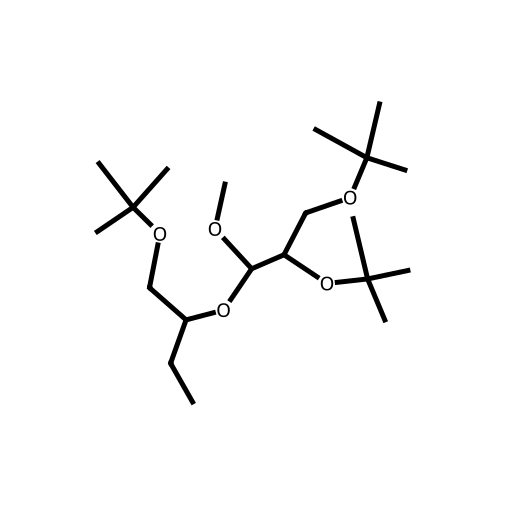 CCC(COC(C)(C)C)OC(OC)C(COC(C)(C)C)OC(C)(C)C